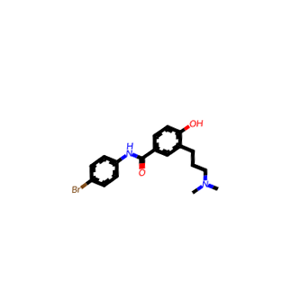 CN(C)CCCc1cc(C(=O)Nc2ccc(Br)cc2)ccc1O